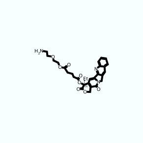 CC[C@@]1(OC(=O)CCCC(=O)OCCOCCN)C(=O)OCc2c1cc1n(c2=O)Cc2cc3ccccc3nc2-1